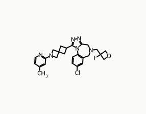 Cc1ccnc(N2CC3(CC(c4nnc5n4-c4ccc(Cl)cc4CN(CC4(F)COC4)C5)C3)C2)c1